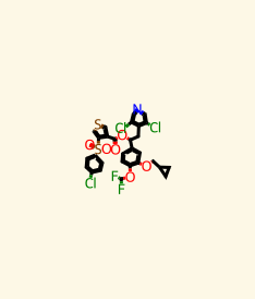 O=C(OC(Cc1c(Cl)cncc1Cl)c1ccc(OC(F)F)c(OCC2CC2)c1)c1cscc1S(=O)(=O)c1ccc(Cl)cc1